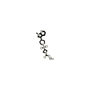 Cn1cc(C2CCN(S(=O)(=O)C3CN(C(=O)OC(C)(C)C)C3)CC2)c2cccnc21